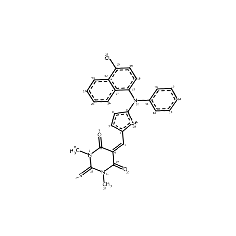 CN1C(=O)C(=Cc2ccc(N(c3ccccc3)c3ccc(Cl)c4ccccc34)[se]2)C(=O)N(C)C1=S